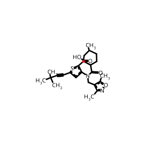 Cc1noc(C)c1CN(C(=O)C1CCC(C)CC1)c1cc(C#CC(C)(C)C)sc1C(=O)O